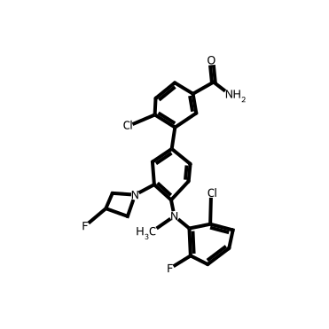 CN(c1ccc(-c2cc(C(N)=O)ccc2Cl)cc1N1CC(F)C1)c1c(F)cccc1Cl